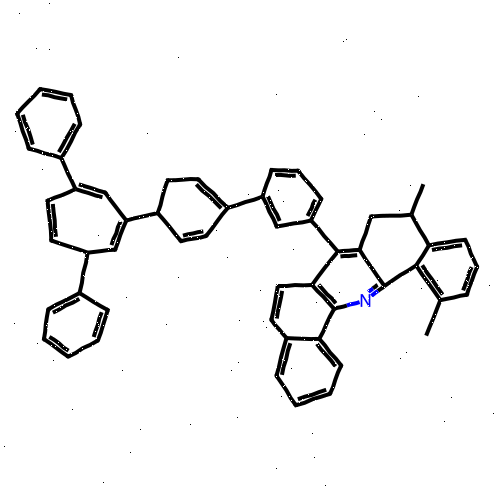 Cc1cccc2c1-c1nc3c(ccc4ccccc43)c(-c3cccc(C4=CCC(C5=CC(c6ccccc6)C=CC(c6ccccc6)=C5)C=C4)c3)c1CC2C